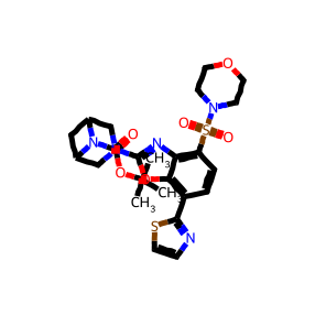 CC(C)(C)OC(=O)N1C2CC1CN(c1nc3c(S(=O)(=O)N4CCOCC4)ccc(-c4nccs4)c3o1)C2